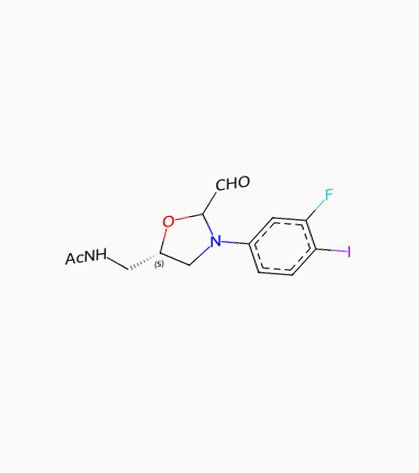 CC(=O)NC[C@H]1CN(c2ccc(I)c(F)c2)C(C=O)O1